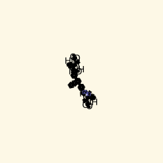 COC(=O)N[C@H](C(=O)N1CC(C)(C)C[C@H]1/C(C)=N/C=C(/c1ccc(-c2ccc(-c3ccc4nc([C@@H]5CC(C)(C)CN5C(=O)[C@@H](NC(=O)OC)C(C)C)[nH]c(=O)c4c3)c3c2CC2(CCCC2)C3)cc1)N(C)C)C(C)C